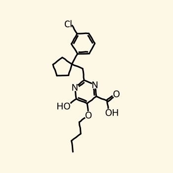 CCCCOc1c(O)nc(CC2(c3cccc(Cl)c3)CCCC2)nc1C(=O)O